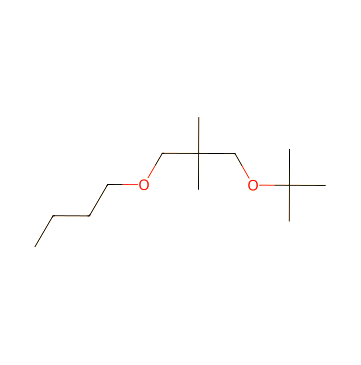 CCCCOCC(C)(C)COC(C)(C)C